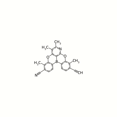 C#Cc1ccc2c(c1C)Oc1nc(C)c(C)c3c1B2c1ccc(C#N)c(C)c1O3